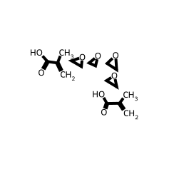 C1CO1.C1CO1.C1CO1.C1CO1.C=C(C)C(=O)O.C=C(C)C(=O)O